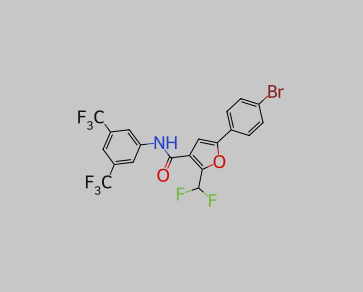 O=C(Nc1cc(C(F)(F)F)cc(C(F)(F)F)c1)c1cc(-c2ccc(Br)cc2)oc1C(F)F